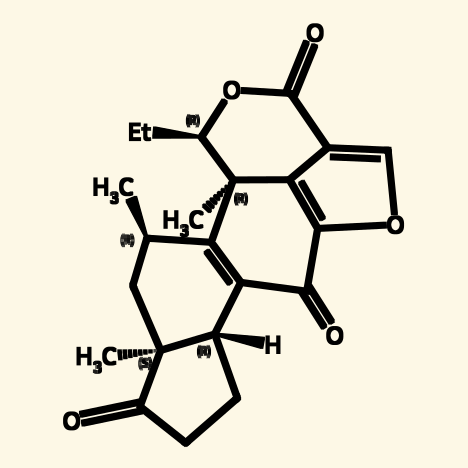 CC[C@H]1OC(=O)c2coc3c2[C@@]1(C)C1=C(C3=O)[C@@H]2CCC(=O)[C@@]2(C)C[C@H]1C